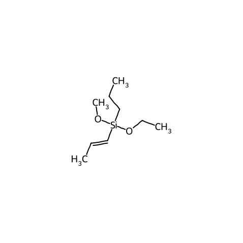 CC=C[Si](CCC)(OC)OCC